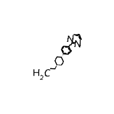 C=CC[C@H]1CC[C@H](c2ccc(-c3ncccn3)cc2)CC1